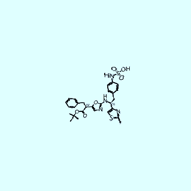 Cc1nc([C@H](Cc2ccc(NS(=O)(=O)O)cc2)Nc2ncc([C@H](Cc3ccccc3)C(=O)OC(C)(C)C)o2)cs1